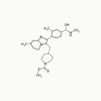 CNC(O)c1ccc(-c2nc3cc(C)ccn3c2CC2CCN(C(=O)OC)CC2)c(C)c1